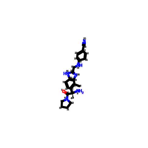 Cc1c([C@@](C)(N)C(=O)N2CCCC2)ccc2[nH]c(CNc3ccc(C#N)cc3)nc12